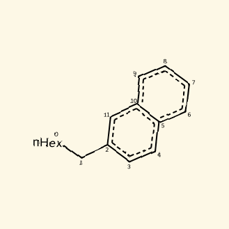 CCCCCCCc1ccc2ccc[c]c2c1